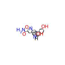 CN1CC[C@]23Cc4c(cc(C(N)=O)c(=O)n4C)C[C@@]2(O)[C@H]1Cc1ccc(O)cc13